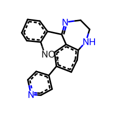 O=[N+]([O-])c1ccccc1C1=NCCNc2ccc(-c3ccncc3)cc21